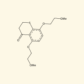 COCCOc1ccc(OCCOC)c2c1SCCC2=O